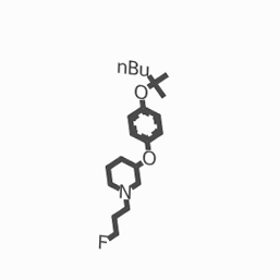 CCCCC(C)(C)Oc1ccc(OC2CCCN(CCCF)C2)cc1